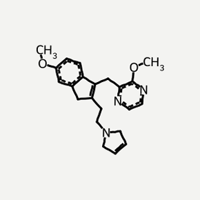 COc1ccc2c(c1)CC(CCN1CC=CC1)=C2Cc1nccnc1OC